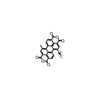 [C-]#[N+]c1cc2c3c(ccc4c5c(C)cc6c7c(ccc(c1c34)c75)C(=O)OC6=O)C(=O)OC2=O